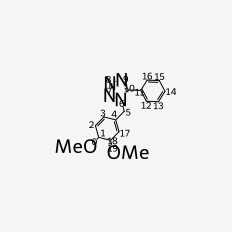 COC1C=CC(Cn2nnnc2-c2ccccc2)=CC1OC